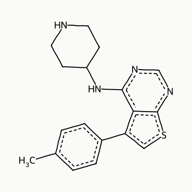 Cc1ccc(-c2csc3ncnc(NC4CCNCC4)c23)cc1